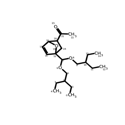 CCC(CC)COC(OCC(CC)CC)C12C=CC(O1)C(C(C)=O)C2